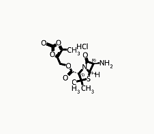 Cc1oc(=O)oc1COC(=O)[C@@H]1N2C(=O)[C@@H](N)[C@H]2SC1(C)C.Cl